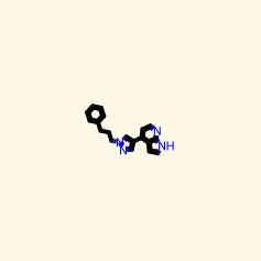 c1ccc(CCCn2cc(-c3ccnc4[nH]ccc34)cn2)cc1